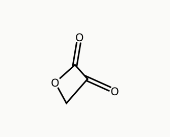 O=C1COC1=O